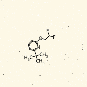 CC(C)(C)c1cccc(OCC(F)F)n1